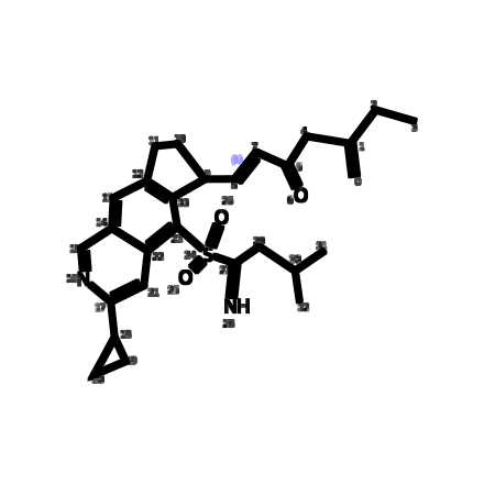 C=C(CC)CC(=O)/C=C/C1CCc2cc3cnc(C4CC4)cc3c(S(=O)(=O)C(=N)CC(C)C)c21